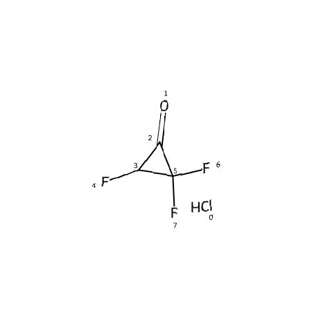 Cl.O=C1C(F)C1(F)F